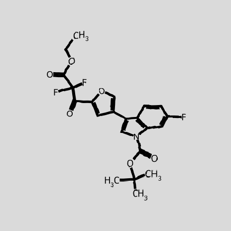 CCOC(=O)C(F)(F)C(=O)c1cc(-c2cn(C(=O)OC(C)(C)C)c3cc(F)ccc23)co1